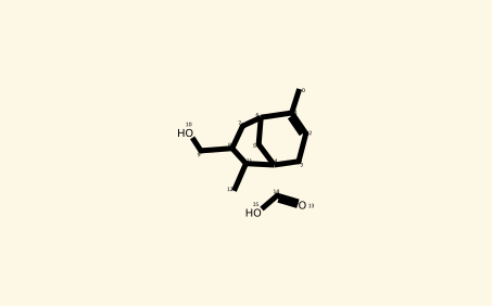 CC1=CCC2CC1CC(CO)C2C.O=CO